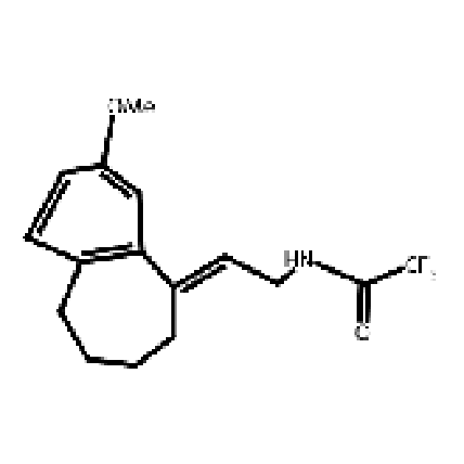 COc1ccc2c(c1)C(=CCNC(=O)C(F)(F)F)CCCC2